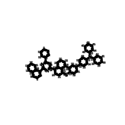 c1ccc(-c2nc(-c3cccc4ccccc34)nc(-c3ccc4c5c(cccc35)-c3cc(-c5ccc(N(c6ccccc6)c6ccccc6)cc5)ccc3S4)n2)cc1